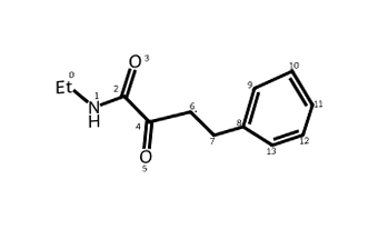 CCNC(=O)C(=O)[CH]Cc1ccccc1